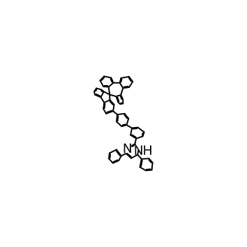 C1=C(c2ccccc2)N=C(c2cccc(-c3ccc(-c4ccc5c(c4)C4(c6ccccc6-c6ccccc6-c6ccccc64)c4ccccc4-5)cc3)c2)NC1c1ccccc1